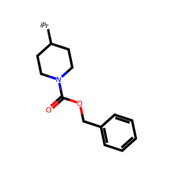 CC(C)C1CCN(C(=O)OCc2ccccc2)CC1